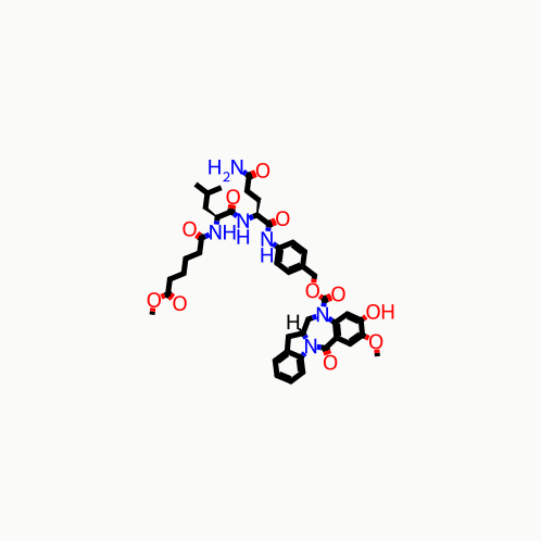 COC(=O)CCCCC(=O)N[C@@H](CC(C)C)C(=O)N[C@@H](CCC(N)=O)C(=O)Nc1ccc(COC(=O)N2C[C@@H]3Cc4ccccc4N3C(=O)c3cc(OC)c(O)cc32)cc1